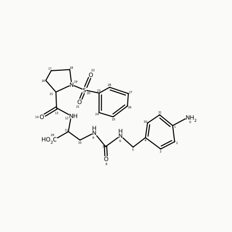 Nc1ccc(CNC(=O)NCC(NC(=O)C2CCCN2S(=O)(=O)c2ccccc2)C(=O)O)cc1